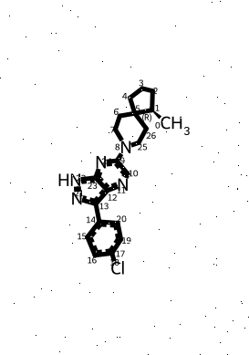 C[C@@H]1CCCC12CCN(c1cnc3c(-c4ccc(Cl)cc4)n[nH]c3n1)CC2